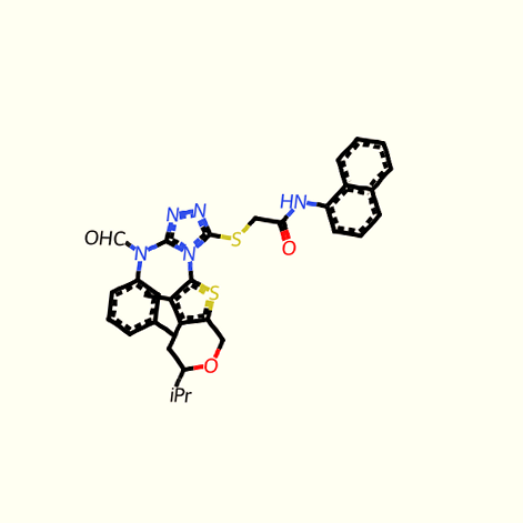 Cc1cccc(N(C=O)c2nnc(SCC(=O)Nc3cccc4ccccc34)n2-c2sc3c(c2C)CC(C(C)C)OC3)c1